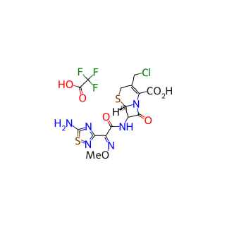 CON=C(C(=O)NC1C(=O)N2C(C(=O)O)=C(CCl)CS[C@@H]12)c1nsc(N)n1.O=C(O)C(F)(F)F